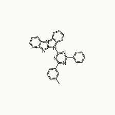 Cc1cccc(-c2nc(-c3ccccc3)nc(-n3c4ccccc4n4c5ccccc5nc34)n2)c1